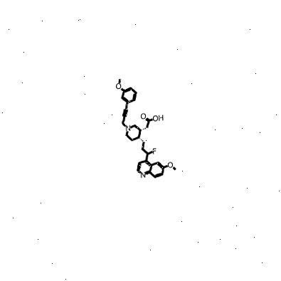 COc1cccc(C#CCN2CC[C@@H](CCC(F)c3ccnc4ccc(OC)cc34)[C@@H](CC(=O)O)C2)c1